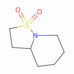 O=S1(=O)CCC2CCCCN21